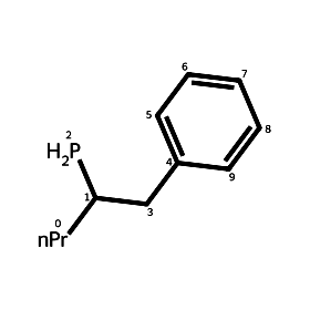 CCCC(P)Cc1ccccc1